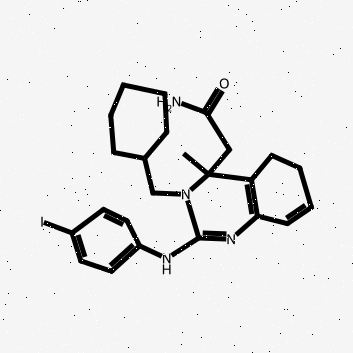 CC1(CC(N)=O)C2=C(C=CCC2)N=C(Nc2ccc(I)cc2)N1CC1CCCCC1